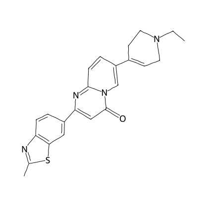 CCN1CC=C(c2ccc3nc(-c4ccc5nc(C)sc5c4)cc(=O)n3c2)CC1